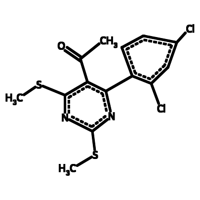 CSc1nc(SC)c(C(C)=O)c(-c2ccc(Cl)cc2Cl)n1